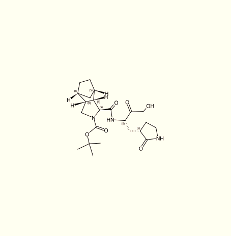 CC(C)(C)OC(=O)N1C[C@@H]2[C@@H]3CC[C@@H](C3)[C@@H]2[C@H]1C(=O)N[C@@H](C[C@@H]1CCNC1=O)C(=O)CO